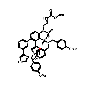 COc1ccc(CN(Cc2ccc(OC)cc2)S(=O)(=O)c2c(N(CCNC(=O)OC(C)(C)C)[SH](=O)=O)ccc(-c3cccc(-c4nc[nH]n4)c3)c2-c2nnn(Cc3ccc(OC)cc3)n2)cc1